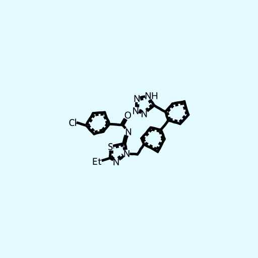 CCc1nn(Cc2ccc(-c3ccccc3-c3nnn[nH]3)cc2)c(=NC(=O)c2ccc(Cl)cc2)s1